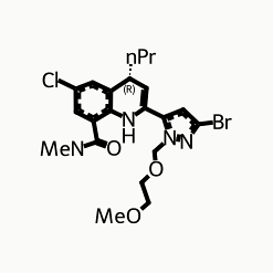 CCC[C@@H]1C=C(c2cc(Br)nn2COCCOC)Nc2c(C(=O)NC)cc(Cl)cc21